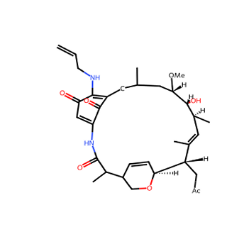 C=CCNC1=C2CC(C)C[C@H](OC)[C@H](O)[C@@H](C)/C=C(\C)[C@H](CC(C)=O)[C@@H]3C=CC(CO3)C(C)C(=O)NC(=CC1=O)C2=O